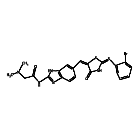 CN(C)CC(=O)Nc1nc2ccc(C=C3SC(=Nc4ccccc4Br)NC3=O)cc2[nH]1